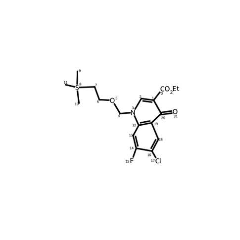 CCOC(=O)c1cn(COCCS(C)(C)C)c2cc(F)c(Cl)cc2c1=O